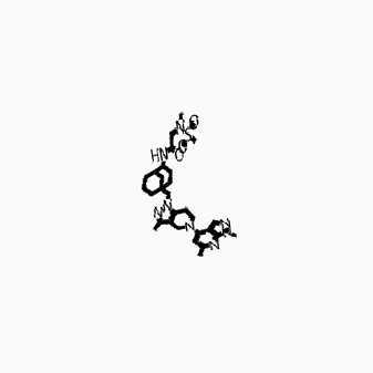 Cc1cc(N2CCc3c(c(C)nn3CC34CCCC(C3)C(NC(=O)CN(C)S(C)(=O)=O)CC4)C2)c2cnn(C)c2n1